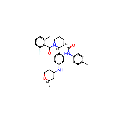 Cc1ccc(NC(=O)[C@H]2CCCN(C(=O)c3c(C)cccc3F)[C@H]2c2ccc(NC3CCO[C@@H](C)C3)cc2)cc1